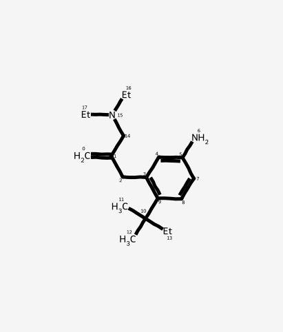 C=C(Cc1cc(N)ccc1C(C)(C)CC)CN(CC)CC